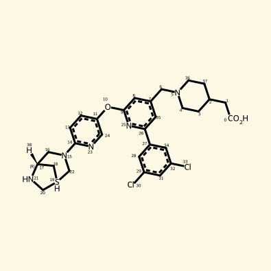 O=C(O)CC1CCN(Cc2cc(Oc3ccc(N4C[C@@H]5C[SH](CN5)C4)nc3)nc(-c3cc(Cl)cc(Cl)c3)c2)CC1